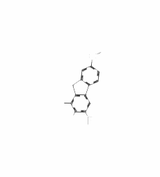 COc1ccc2c(c1)Cc1c-2cc(F)c(F)c1F